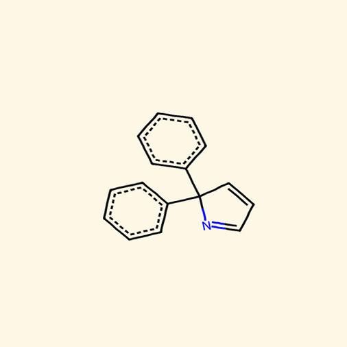 C1=CC(c2ccccc2)(c2ccccc2)N=C1